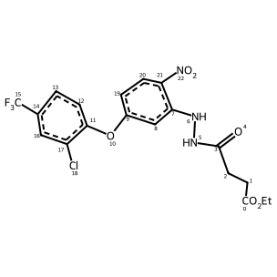 CCOC(=O)CCC(=O)NNc1cc(Oc2ccc(C(F)(F)F)cc2Cl)ccc1[N+](=O)[O-]